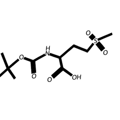 CC(C)(C)OC(=O)NC(CCS(C)(=O)=O)C(=O)O